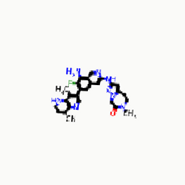 Cc1c(-c2cc3cc(Nc4cc5n(n4)CC(=O)N(C)CC5)ncc3c(N)c2F)cnc2c1NCC[C@H]2C#N